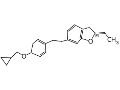 CC[C@@H]1Cc2ccc(CCC3=CCC(OCC4CC4)C=C3)cc2O1